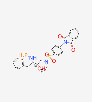 CC(C)CN(C[C@H](O)C(Cc1ccccc1)NP)S(=O)(=O)c1ccc(N2C(=O)c3ccccc3C2=O)cc1